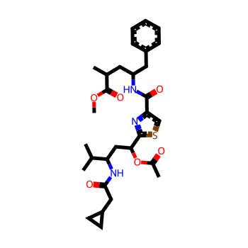 COC(=O)C(C)CC(Cc1ccccc1)NC(=O)c1csc(C(CC(NC(=O)CC2CC2)C(C)C)OC(C)=O)n1